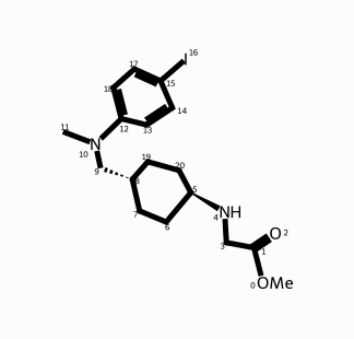 COC(=O)CN[C@H]1CC[C@H](CN(C)c2ccc(I)cc2)CC1